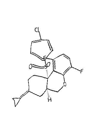 O=S(=O)(c1ccc(Cl)cc1)[C@@]12CCC(=C3CC3)C[C@@H]1COc1c(F)ccc(F)c12